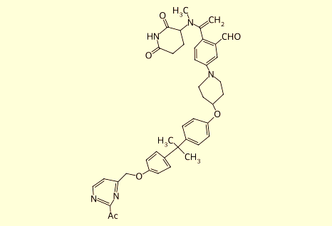 C=C(c1ccc(N2CCC(Oc3ccc(C(C)(C)c4ccc(OCc5ccnc(C(C)=O)n5)cc4)cc3)CC2)cc1C=O)N(C)C1CCC(=O)NC1=O